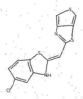 Clc1ccc2c(c1)N/C(=C/c1nc3cscc3s1)S2